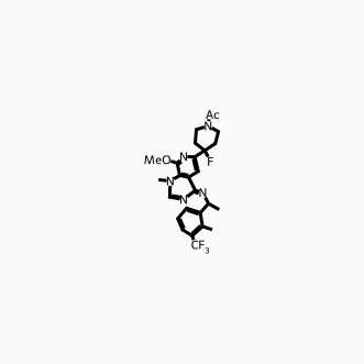 COc1nc(C2(F)CCN(C(C)=O)CC2)cc2c(=NC(C)c3cccc(C(F)(F)F)c3C)ncn(C)c12